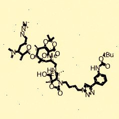 CC[C@@H](O)[C@@]1(C)OC(=O)N(CCCCn2cc(-c3cccc(NC(=O)OC(C)(C)C)c3)nn2)[C@@H]1[C@@H](C)NC[C@H](C)C[C@@](C)(OC)[C@H](O[C@@H]1OC(CN=[N+]=[N-])CC(N(C)C)C1C)[C@@H](C)C1=C(C)C(=O)OC(C)(C)O1